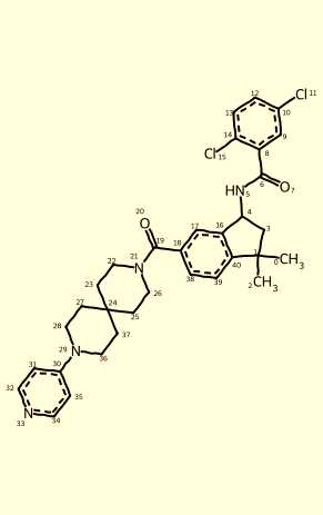 CC1(C)CC(NC(=O)c2cc(Cl)ccc2Cl)c2cc(C(=O)N3CCC4(CC3)CCN(c3ccncc3)CC4)ccc21